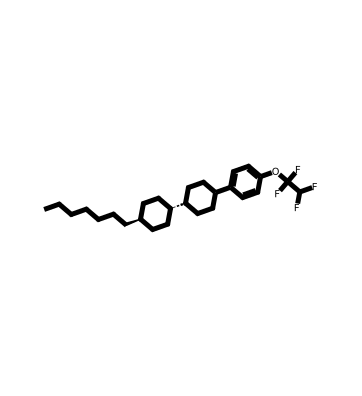 CCCCCCC[C@H]1CC[C@H](C2CCC(c3ccc(OC(F)(F)C(F)F)cc3)CC2)CC1